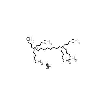 CCCC[P+](CCCC)(CCCC)CCCCCCCC[P+](CCCC)(CCCC)CCCC.[Br-].[Br-]